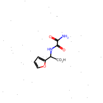 NC(=O)C(=O)NC(C(=O)O)c1ccco1